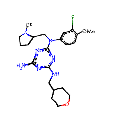 CCN1CCCC1CN(c1ccc(OC)c(F)c1)c1nc(N)nc(NCC2CCOCC2)n1